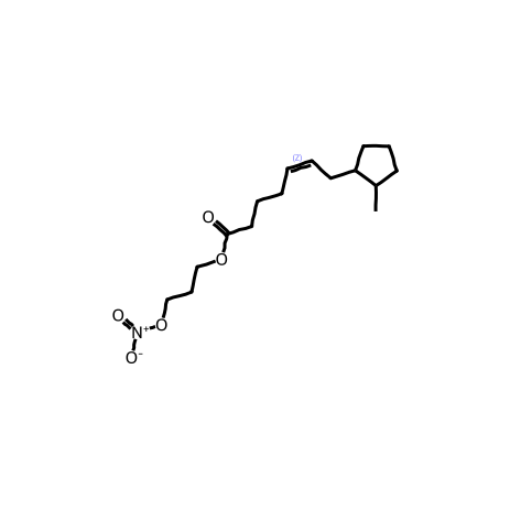 CC1CCCC1C/C=C\CCCC(=O)OCCCO[N+](=O)[O-]